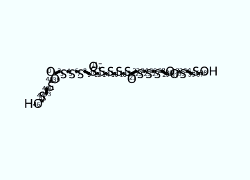 O=C(CSCSCSCC[S+]([O-])CSCSCSCSC(=O)CSCSCSCCOOCSCCSCO)OCSCCSCO